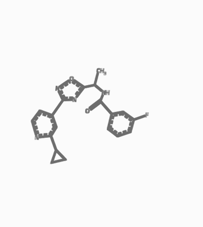 CC(NC(=O)c1cccc(F)c1)c1nc(-c2ccnc(C3CC3)c2)no1